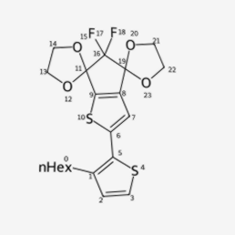 CCCCCCc1ccsc1-c1cc2c(s1)C1(OCCO1)C(F)(F)C21OCCO1